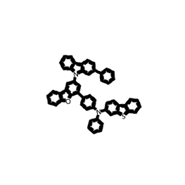 c1ccc(-c2ccc3c4ccccc4n(-c4cc(-c5ccc(N(c6ccccc6)c6ccc7c(c6)sc6ccccc67)cc5)c5oc6ccccc6c5c4)c3c2)cc1